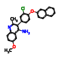 COc1ccc2nc(C)c(-c3ccc(Oc4ccc5ccccc5c4)c(Cl)c3)c(N)c2c1